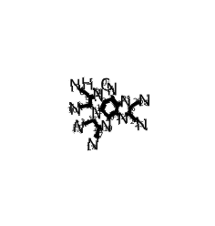 C=Nc1c(/N=C(/C#N)CC#N)c2nc(C#N)c(C#N)nc2c2nc(C#N)c(C#N)nc12